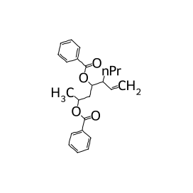 C=CC(CCC)C(CC(C)OC(=O)c1ccccc1)OC(=O)c1ccccc1